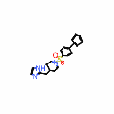 O=S(=O)(c1ccc(-c2ccccc2)cc1)N1CCC(Cc2ncc[nH]2)CC1